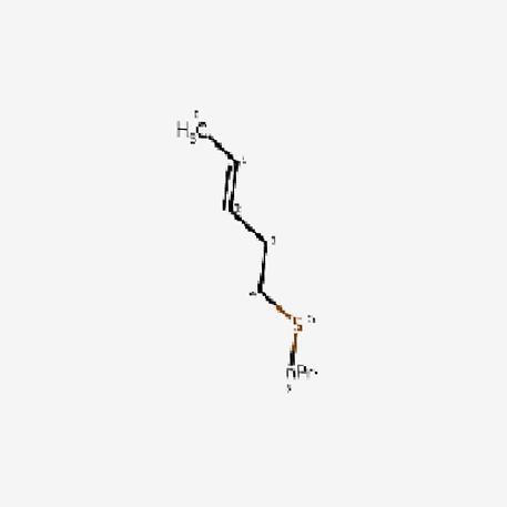 C/C=C/CCS[CH]CC